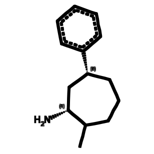 CC1CCC[C@@H](c2ccccc2)C[C@H]1N